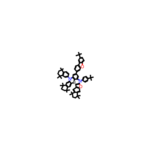 CC(C)(C)c1ccc(N2c3cc(-c4ccc5c(c4)oc4ccc(C(C)(C)C)cc45)cc4c3B(c3cc5c(cc3N4c3ccc4c(c3)C(C)(C)CCC4(C)C)C(C)(C)CCC5(C)C)c3c2oc2cc4c(cc32)C(C)(C)CCC4(C)C)cc1